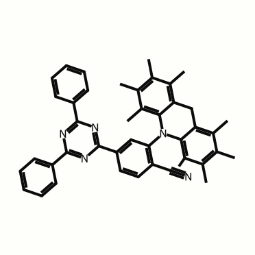 Cc1c(C)c(C)c2c(c1C)Cc1c(C)c(C)c(C)c(C)c1N2c1cc(-c2nc(-c3ccccc3)nc(-c3ccccc3)n2)ccc1C#N